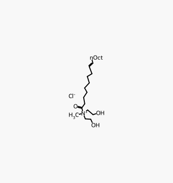 CCCCCCCCC=CCCCCCCCC(=O)[N+](C)(CCO)CCO.[Cl-]